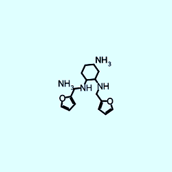 N.N.c1coc(CNC2CCCCC2NCc2ccco2)c1